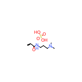 C=CC(=O)NCCCN(C)C.O=S(=O)(O)O